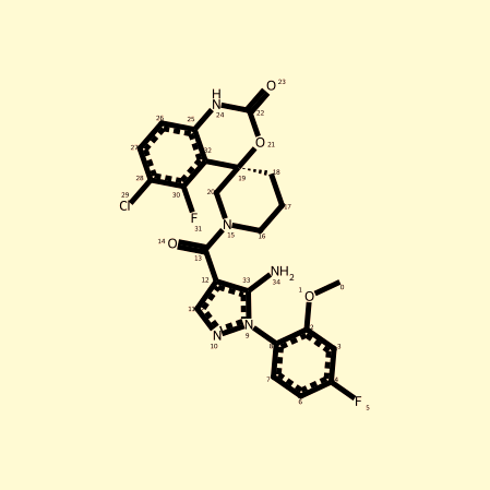 COc1cc(F)ccc1-n1ncc(C(=O)N2CCC[C@@]3(C2)OC(=O)Nc2ccc(Cl)c(F)c23)c1N